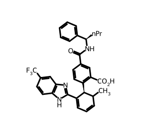 CCC[C@@H](NC(=O)c1ccc([C@@H]2C(c3nc4cc(C(F)(F)F)ccc4[nH]3)=CC=CC2C)c(C(=O)O)c1)c1ccccc1